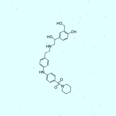 O=S(=O)(c1ccc(Nc2ccc(CCNCC(O)c3ccc(O)c(CO)c3)cc2)cc1)N1CCCCC1